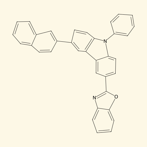 c1ccc(-n2c3ccc(-c4ccc5ccccc5c4)cc3c3cc(-c4nc5ccccc5o4)ccc32)cc1